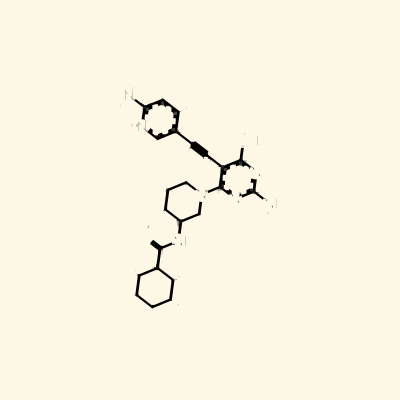 Cc1nc(N)nc(N2CCCC(NC(=O)C3CCCCC3)C2)c1C#Cc1ccc(N)nc1